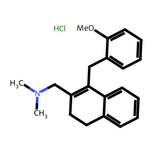 COc1ccccc1CC1=C(CN(C)C)CCc2ccccc21.Cl